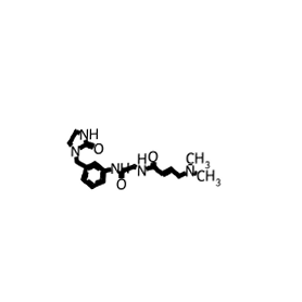 CN(C)CC=CC(=O)NCC(=O)Nc1cccc(CN2CCNC2=O)c1